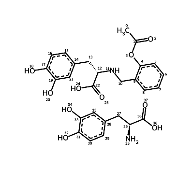 CC(=O)Oc1ccccc1CN[C@@H](Cc1ccc(O)c(O)c1)C(=O)O.N[C@@H](Cc1ccc(O)c(O)c1)C(=O)O